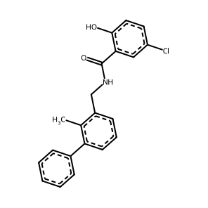 Cc1c(CNC(=O)c2cc(Cl)ccc2O)cccc1-c1ccccc1